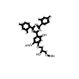 CCCCCCc1cc(-c2nc(-c3ccc(C)cc3C)nc(-c3ccc(C)cc3C)n2)c(O)cc1OCC(O)COCCCC